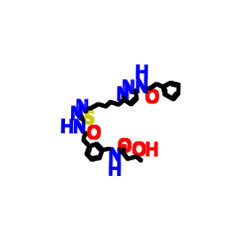 CC(O)CC(=O)NCc1cccc(CC(=O)Nc2nnc(CCCCc3ccc(NC(=O)Cc4ccccc4)nn3)s2)c1